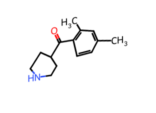 Cc1ccc(C(=O)C2CCNCC2)c(C)c1